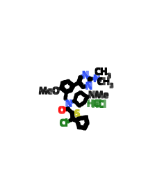 CNC1CCC(N(Cc2cc(-c3cnc(N(C)C)nc3)ccc2OC)C(=O)c2sc3ccccc3c2Cl)CC1.Cl.Cl